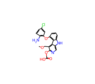 COCc1c(OC(=O)O)ncc2[nH]c3cccc(Oc4cc(Cl)ccc4N)c3c12